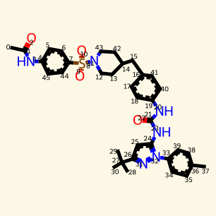 CC(=O)Nc1ccc(S(=O)(=O)N2CCC(Cc3ccc(NC(=O)Nc4cc(C(C)(C)C)nn4-c4ccc(C)cc4)cc3)CC2)cc1